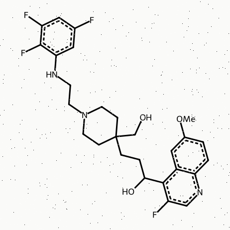 COc1ccc2ncc(F)c(C(O)CCC3(CO)CCN(CCNc4cc(F)cc(F)c4F)CC3)c2c1